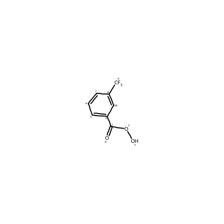 O=C(OO)c1cccc(C(F)(F)F)c1